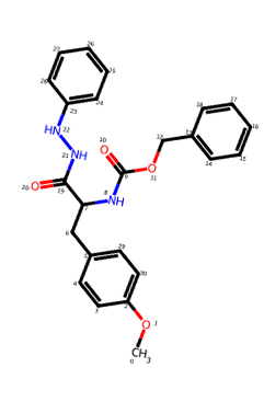 COc1ccc(CC(NC(=O)OCc2ccccc2)C(=O)NNc2ccccc2)cc1